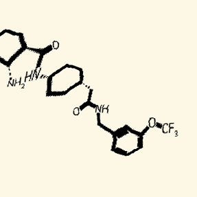 N[C@@H]1CCCC[C@H]1C(=O)N[C@H]1CC[C@@H](CC(=O)NCc2cccc(OC(F)(F)F)c2)CC1